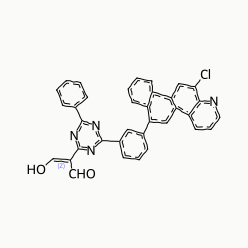 O=C/C(=C\O)c1nc(-c2ccccc2)nc(-c2cccc(-c3cc4c5cccnc5c(Cl)cc4c4ccccc34)c2)n1